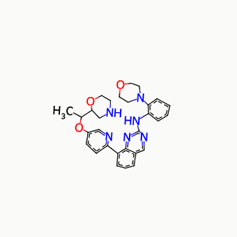 CC(Oc1ccc(-c2cccc3cnc(Nc4ccccc4N4CCOCC4)nc23)nc1)C1CNCCO1